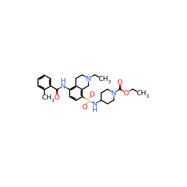 CCOC(=O)N1CCC(NS(=O)(=O)c2ccc(NC(=O)c3ccccc3C)c3c2CN(CC)CC3)CC1